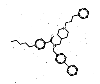 CCCCCc1ccc(C(=O)N(Cc2ccc(-c3ccccc3)cc2)CC2CCN(CCCc3ccccc3)CC2)cc1